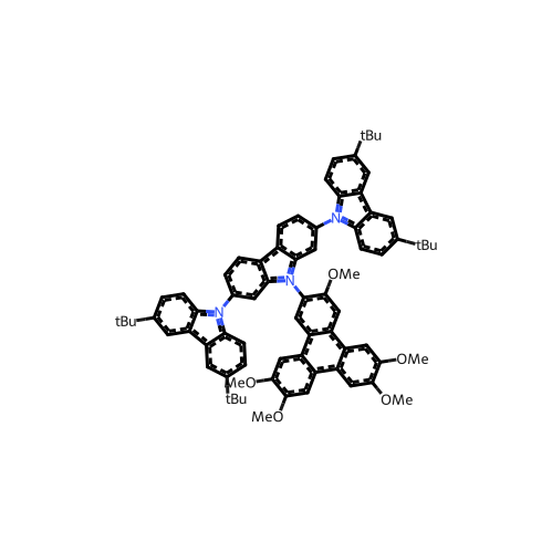 COc1cc2c3cc(OC)c(OC)cc3c3cc(-n4c5cc(-n6c7ccc(C(C)(C)C)cc7c7cc(C(C)(C)C)ccc76)ccc5c5ccc(-n6c7ccc(C(C)(C)C)cc7c7cc(C(C)(C)C)ccc76)cc54)c(OC)cc3c2cc1OC